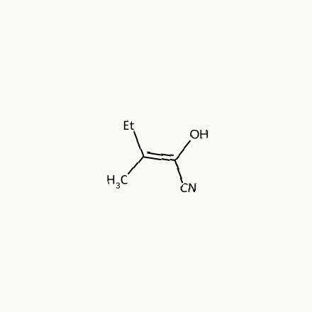 CCC(C)=C(O)C#N